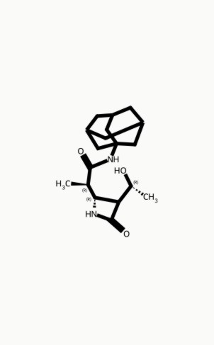 C[C@@H](O)C1C(=O)N[C@@H]1[C@@H](C)C(=O)NC12CC3CC(CC(C3)C1)C2